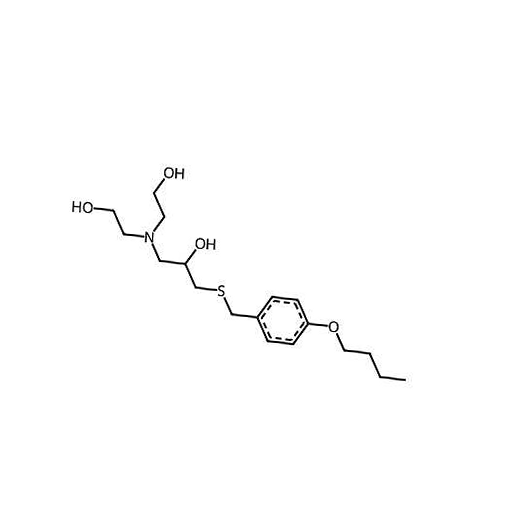 CCCCOc1ccc(CSCC(O)CN(CCO)CCO)cc1